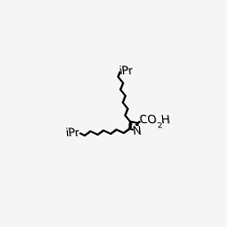 CC(C)CCCCCCCC1=C(CCCCCCCC(C)C)C(C(=O)O)=N1